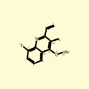 C=Cc1nc2c(F)cccc2c(OCCCC)c1C